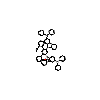 N#Cc1ccccc1-c1cc(-c2ccccc2C#N)c(-n2c3ccccc3c3cc(N(c4ccccc4)c4ccccc4)ccc32)cc1-n1c2ccccc2c2cc(N(c3ccccc3)c3ccccc3)ccc21